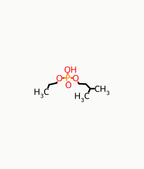 CCCOP(=O)(O)OCCC(C)C